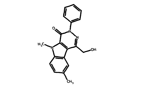 Cc1ccc2c(c1)c1c(CO)nn(-c3ccccc3)c(=O)c1n2C